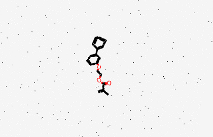 C=C(C)C(=O)OCCOc1cccc(-c2ccccc2)c1